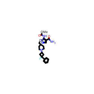 COC(=O)Nc1nn(C2(CC#N)CCN(C3CC(F)(c4ccccc4)C3)CC2)cc1C(N)=O